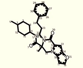 CC1CCC(NC(=O)C2(C)Cn3c(cc4occc43)C(=O)N2CCCc2ccccc2)CC1